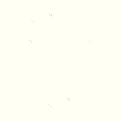 CCOC(=O)C(Cc1cc(-c2cncnc2)ccc1-c1cc(N)ncn1)C(=O)OCC